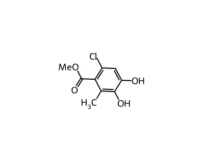 COC(=O)c1c(Cl)cc(O)c(O)c1C